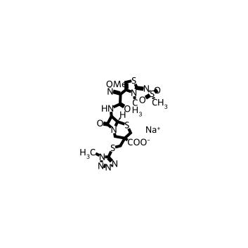 CON=C(C(=O)NC1C(=O)N2CC(CSc3nnnn3C)(C(=O)[O-])CS[C@H]12)c1csc(=NS(C)(=O)=O)n1C.[Na+]